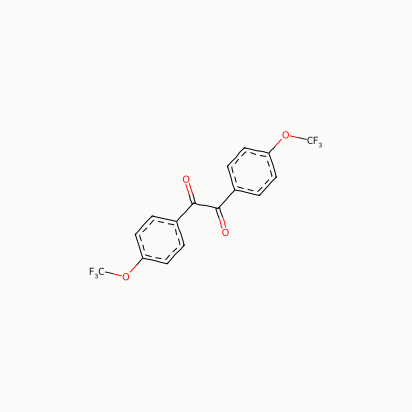 O=C(C(=O)c1ccc(OC(F)(F)F)cc1)c1ccc(OC(F)(F)F)cc1